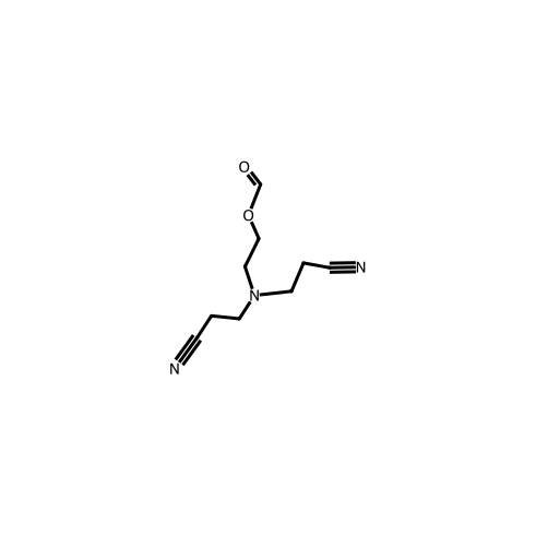 N#CCCN(CCC#N)CCOC=O